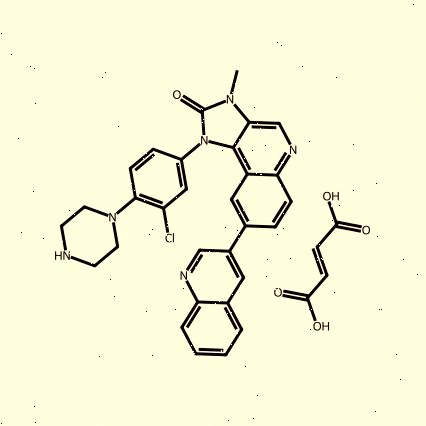 Cn1c(=O)n(-c2ccc(N3CCNCC3)c(Cl)c2)c2c3cc(-c4cnc5ccccc5c4)ccc3ncc21.O=C(O)C=CC(=O)O